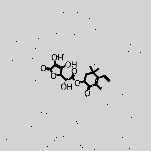 C=CC1=C(C)C(=O)C(OC(=O)[C@H](O)C2OC(=O)C(O)=C2O)CC1(C)C